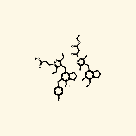 CCOC(=O)CC(=O)n1nc(C)c(Cc2cc(C)c(OC)c3c2CCC3)c1C.CCc1nn(CCC(=O)O)c(CC)c1Cc1cc(Cc2ccc(F)cc2)c(O)c2c1CCC2